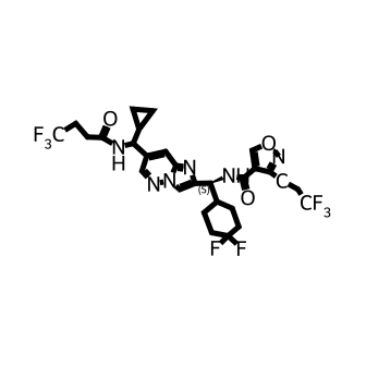 O=C(CCC(F)(F)F)NC(c1cnn2cc([C@@H](NC(=O)c3conc3CCC(F)(F)F)C3CCC(F)(F)CC3)nc2c1)C1CC1